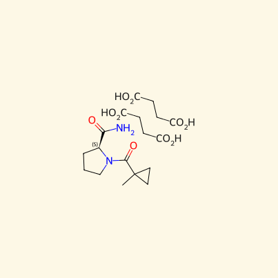 CC1(C(=O)N2CCC[C@H]2C(N)=O)CC1.O=C(O)CCC(=O)O.O=C(O)CCC(=O)O